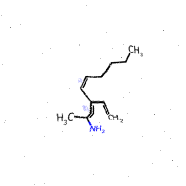 C=CC(/C=C\CCCC)=C(/C)N